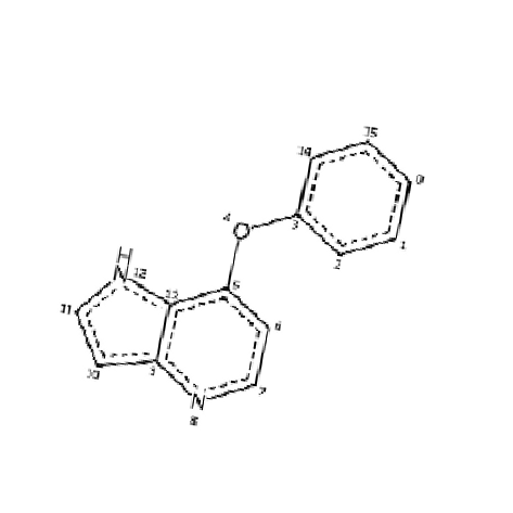 c1ccc(Oc2ccnc3cc[nH]c23)cc1